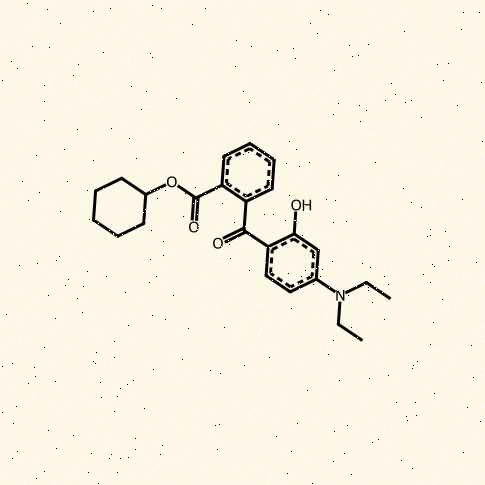 CCN(CC)c1ccc(C(=O)c2ccccc2C(=O)OC2CCCCC2)c(O)c1